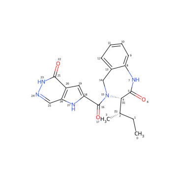 CC[C@H](C)[C@H]1C(=O)Nc2ccccc2CN1C(=O)c1cc2c(=O)[nH]ncc2[nH]1